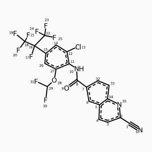 N#Cc1ccc2cc(C(=O)Nc3c(Cl)cc(C(F)(C(F)(F)F)C(F)(F)F)cc3OC(F)F)ccc2n1